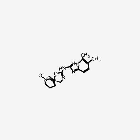 Cc1ccc2nc(NC3=NC[C@@]4(C[N+]5([O-])CCC4CC5)O3)nn2c1C